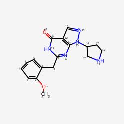 COc1ccccc1Cc1nc2c(cnn2C2CCNC2)c(=O)[nH]1